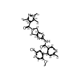 COc1cnc(Cl)cc1-c1cc(C)ncc1C(=O)Nc1nc2c(s1)CN(C(=O)c1c(C)nn(C)c1C)C2